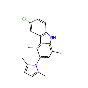 Cc1cc(-n2c(C)ccc2C)c(C)c2c1[nH]c1ccc(Cl)cc12